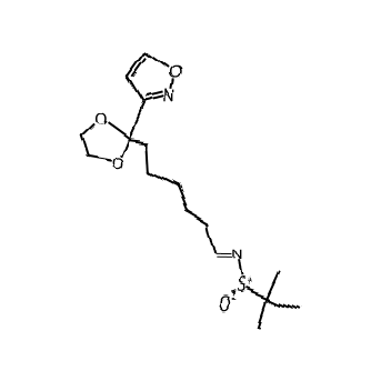 CC(C)(C)[S@@+]([O-])N=CCCCCCC1(c2ccon2)OCCO1